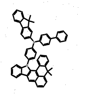 CC1(C)c2ccccc2-c2ccc(N(c3ccc(-c4ccccc4)cc3)c3ccc(-n4c5ccccc5c5cc6cccc7c6c(c54)-c4ccccc4C7(C)C)cc3)cc21